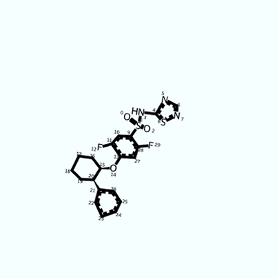 O=S(=O)(Nc1ncns1)c1cc(F)c(O[C@@H]2CCCC[C@@H]2c2ccccc2)cc1F